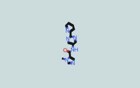 Cn1cncc1C(=O)Nc1cnc(-c2ccccn2)nc1